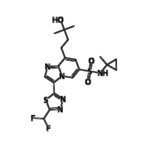 CC(C)(O)CCc1cc(S(=O)(=O)NC2(C)CC2)cn2c(-c3nnc(C(F)F)s3)cnc12